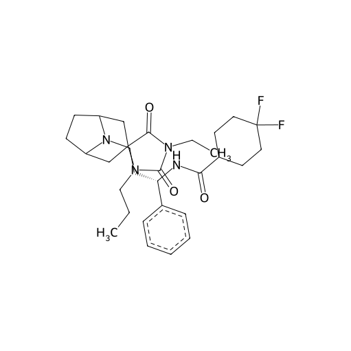 CCCN1C(=O)N(CC)C(=O)C12CC1CCC(C2)N1CC[C@H](NC(=O)C1CCC(F)(F)CC1)c1ccccc1